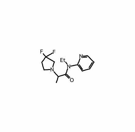 CCN(C(=O)C(C)N1CCC(F)(F)C1)c1ccccn1